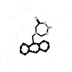 O=C1CN(Cc2c3ccccc3cc3ccccc23)CONO1